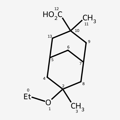 CCOC1(C)CC2CC(C1)CC(C)(C(=O)O)C2